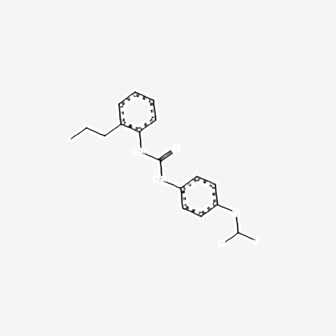 CCCc1ccccc1NC(=O)Nc1ccc(OC(F)F)cc1